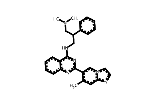 Cc1cc2nccn2cc1-c1nc(NCC(CN(C)C)c2ccccc2)c2ccccc2n1